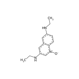 CCNc1ccc2c(c1)cc(NCC)c[n+]2[O-]